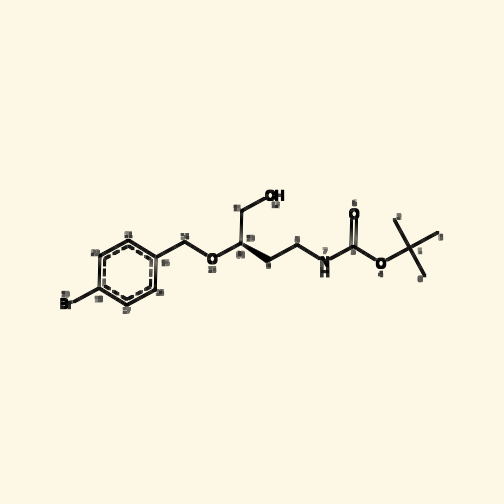 CC(C)(C)OC(=O)NCC[C@H](CO)OCc1ccc(Br)cc1